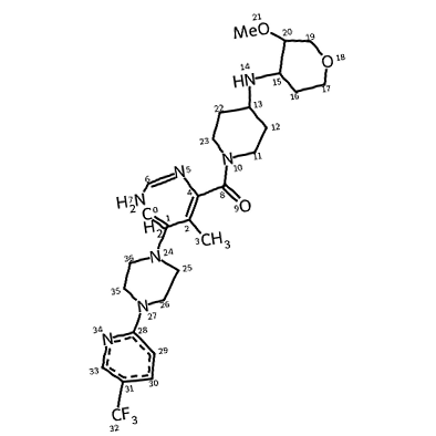 C=C(/C(C)=C(\N=C/N)C(=O)N1CCC(NC2CCOCC2OC)CC1)N1CCN(c2ccc(C(F)(F)F)cn2)CC1